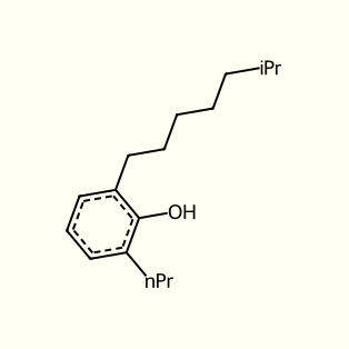 CCCc1cccc(CCCCCC(C)C)c1O